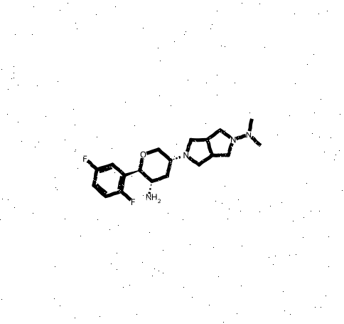 CN(C)N1CC2CN([C@H]3CO[C@H](c4cc(F)ccc4F)[C@@H](N)C3)CC2C1